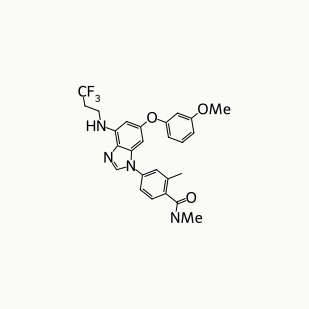 CNC(=O)c1ccc(-n2cnc3c(NCCC(F)(F)F)cc(Oc4cccc(OC)c4)cc32)cc1C